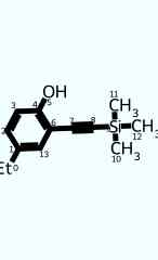 CCc1ccc(O)c(C#C[Si](C)(C)C)c1